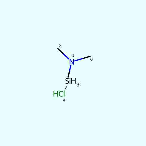 CN(C)[SiH3].Cl